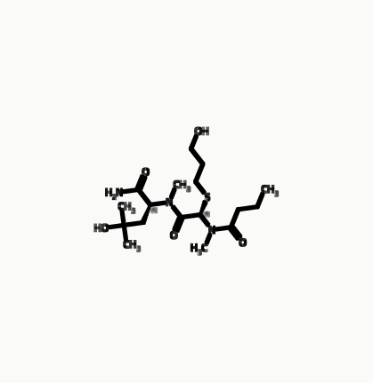 CCCC(=O)N(C)[C@H](SCCCO)C(=O)N(C)[C@@H](CC(C)(C)O)C(N)=O